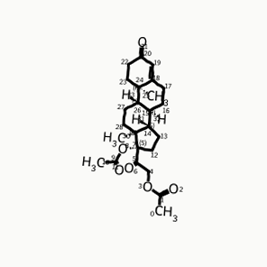 CC(=O)OCC(=O)[C@]1(OC(C)=O)CC[C@H]2[C@@H]3CCC4=CC(=O)CC[C@]4(C)[C@H]3CC[C@@]21C